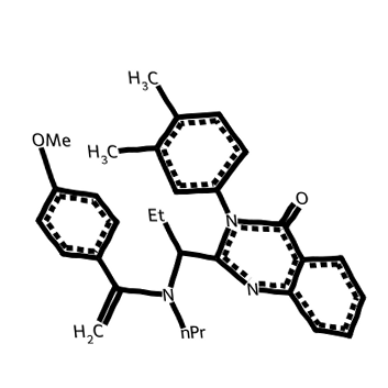 C=C(c1ccc(OC)cc1)N(CCC)C(CC)c1nc2ccccc2c(=O)n1-c1ccc(C)c(C)c1